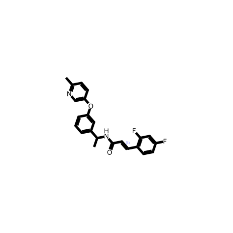 Cc1ccc(Oc2cccc(C(C)NC(=O)/C=C/c3ccc(F)cc3F)c2)cn1